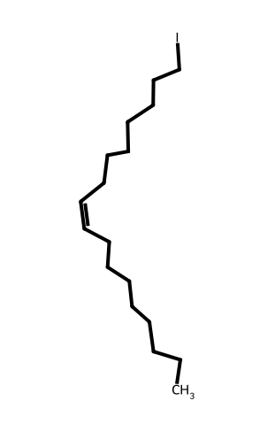 CCCCCCCC/C=C\CCCCCCCI